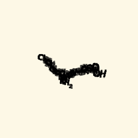 Nc1nc2c(c(N3CCN(CCc4ccc(OCC(=O)O)cc4)CC3)n1)CCc1cc(OCc3ccc(Cl)cc3)ccc1-2